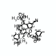 COC(=O)C1=C(C)N(c2cccc(C(F)(F)F)c2)c2n[nH]c(=O)n2[C@@H]1c1ccc(C#N)cc1CCC[N+](C)(C)C.O=S(=O)([O-])c1ccccc1